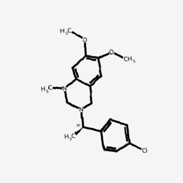 COc1cc2c(cc1OC)N(C)CN([C@H](C)c1ccc(Cl)cc1)C2